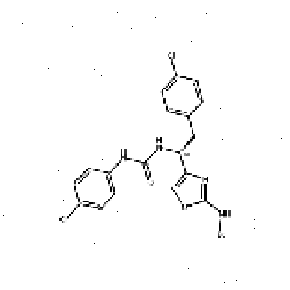 CCNc1nc([C@H](Cc2ccc(Cl)cc2)NC(=O)Nc2ccc(Cl)cc2)no1